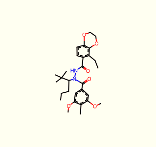 CCCC(N(NC(=O)c1ccc2c(c1CC)OCCO2)C(=O)c1cc(OC)c(C)c(OC)c1)C(C)(C)C